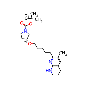 Cc1cc2c(nc1CCCCCO[C@@H]1CCN(C(=O)OC(C)(C)C)C1)NCCC2